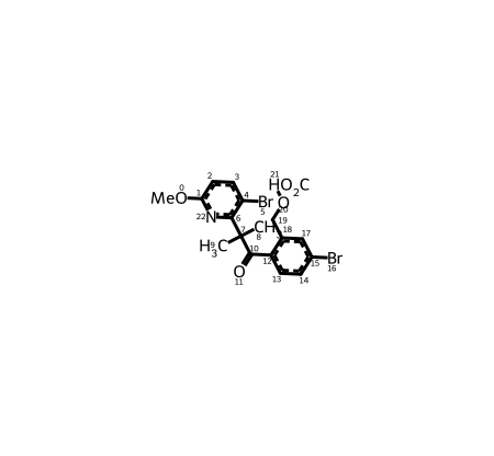 COc1ccc(Br)c(C(C)(C)C(=O)c2ccc(Br)cc2COC(=O)O)n1